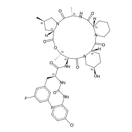 C[C@@H]1C[C@H]2C(=O)O[C@@H](C)[C@H](NC(=O)[C@H](Cc3cc(F)cc(F)c3)NC(=O)Nc3cccc(Cl)c3)C(=O)N3C[C@H](O)CC[C@H]3C(=O)N3CCCC[C@H]3C(=O)N[C@@H](C)C(=O)N2C1